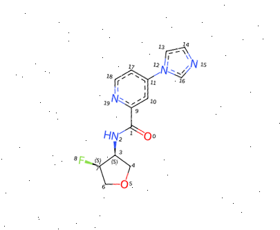 O=C(N[C@H]1COC[C@H]1F)c1cc(-n2ccnc2)ccn1